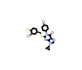 O=c1c2ncn(C3CC3)c2nc(SCc2ccc(F)c(Cl)c2)n1-c1ccc(Cl)cc1